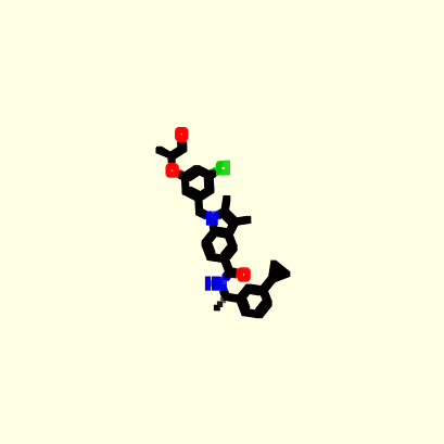 Cc1c(C)n(Cc2cc(Cl)cc(O[C@@H](C)C=O)c2)c2ccc(C(=O)N[C@@H](C)c3cccc(C4CC4)c3)cc12